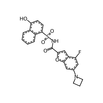 O=C(NS(=O)(=O)c1ccc(O)c2ccccc12)c1cc2c(F)cc(N3CCC3)cc2o1